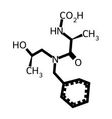 C[C@H](NC(=O)O)C(=O)N(Cc1ccccc1)C[C@@H](C)O